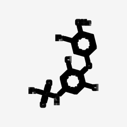 COc1ccc(Oc2c(Cl)cc(NS(=O)(=O)C(C)C)cc2Cl)cc1C(C)C